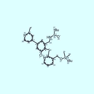 Cc1cc(-c2cc(Cl)c(Sc3ncccc3CO[Si](C)(C)C(C)(C)C)c(CN[S+]([O-])C(C)(C)C)c2)ccn1